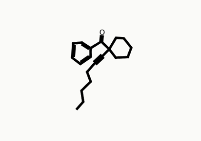 CCCCCC#CC1(C(=O)c2ccccc2)CCCCC1